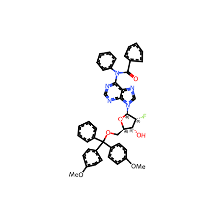 COc1ccc(C(OC[C@H]2O[C@@H](n3cnc4c(N(C(=O)c5ccccc5)c5ccccc5)ncnc43)[C@H](F)[C@@H]2O)(c2ccccc2)c2ccc(OC)cc2)cc1